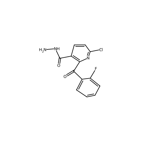 NNC(=O)c1ccc(Cl)nc1C(=O)c1ccccc1F